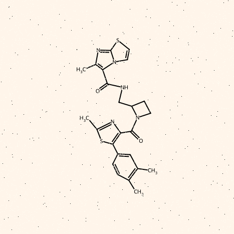 Cc1nc(C(=O)N2CCC2CNC(=O)c2c(C)nc3sccn23)c(-c2ccc(C)c(C)c2)s1